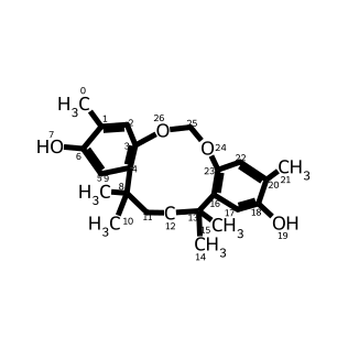 Cc1cc2c(cc1O)C(C)(C)CCC(C)(C)c1cc(O)c(C)cc1OCO2